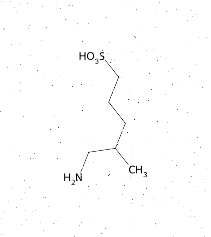 CC(CN)CCCS(=O)(=O)O